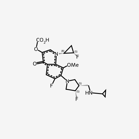 COc1c(N2C[C@H](CNC3CC3)[C@H](F)C2)c(F)cc2c(=O)c(OC(=O)O)cn([C@@H]3C[C@@H]3F)c12